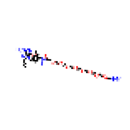 CCCCc1nc2c(N)nnc(OC(C)C)c2n1Cc1ccc(CNC(=O)CCOCCOCCOCCOCCOCCOCCOCCOCCN=[N+]=[N-])cc1